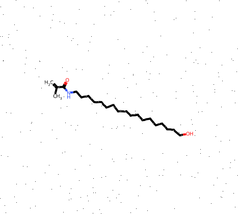 C=C(C)C(=O)NCCCCCCCCCCCCCCCCCCO